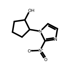 O=[N+]([O-])c1nccn1C1CCCC1O